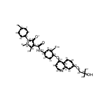 Cc1ccc(-n2c(=O)c(C(=O)Nc3ccc(Oc4ccnc5cc(OCC(C)(C)O)ccc45)c(F)c3)c(C)n2C)cc1